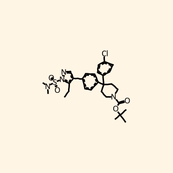 CCc1c(-c2ccc(C3(c4ccc(Cl)cc4)CCN(C(=O)OC(C)(C)C)CC3)cc2)cnn1S(=O)(=O)N(C)C